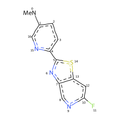 CNc1ccc(-c2nc3cnc(F)cc3s2)nc1